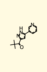 CC(C)(C)C(=O)c1cc(-c2cccnc2)[nH]n1